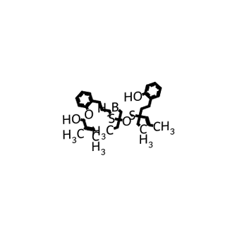 BCC(CC)(OSC(C=CC)(CC)CCc1ccccc1O)SCCCc1ccccc1OC(O)C(C)=CC